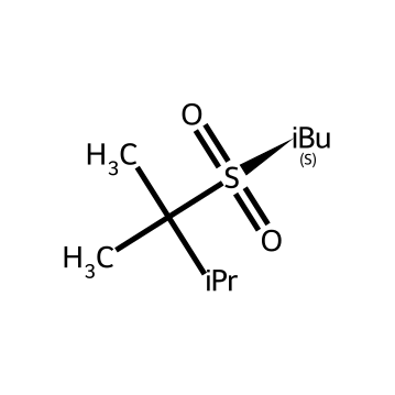 CC[C@H](C)S(=O)(=O)C(C)(C)C(C)C